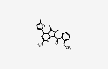 Cc1ccc(-c2nc(N)nc3c2C(=O)N(C)C3C(=O)c2ccccc2OC(F)(F)F)o1